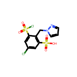 O=S(=O)(O)c1cc(Cl)cc(S(=O)(=O)Cl)c1Cn1cccn1